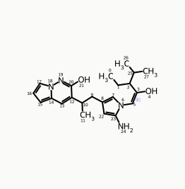 CCC(/C(O)=C\n1cc(CC(C)c2cc3cccn3nc2O)cc1N)C(C)C